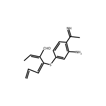 C=C/C=C(Sc1ccc(C(C)=N)c(N)c1)\C(C=O)=C/C